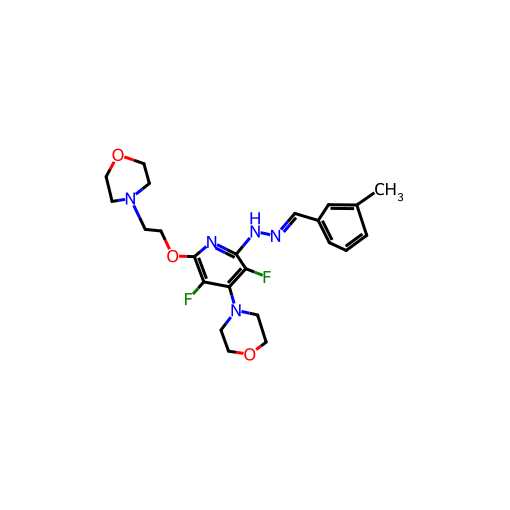 Cc1cccc(/C=N/Nc2nc(OCCN3CCOCC3)c(F)c(N3CCOCC3)c2F)c1